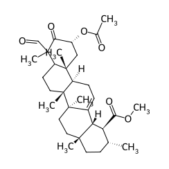 COC(=O)[C@H]1[C@H](C)CC[C@]2(C)CC[C@]3(C)C(=CC[C@@H]4[C@@]5(C)C[C@@H](OC(C)=O)C(=O)C(C)(C=O)C5CC[C@]43C)[C@H]12